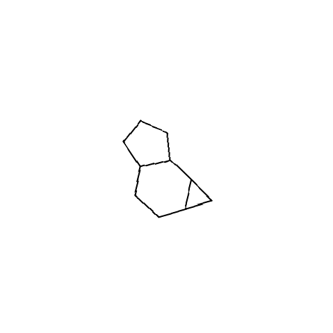 C1CC2CCC3CC3C2C1